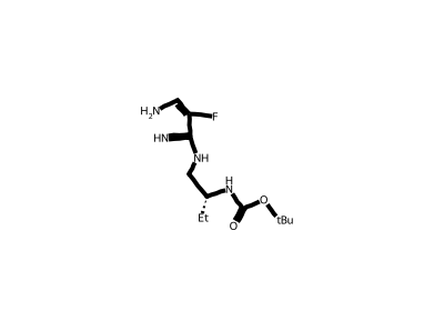 CC[C@H](CNC(=N)/C(F)=C\N)NC(=O)OC(C)(C)C